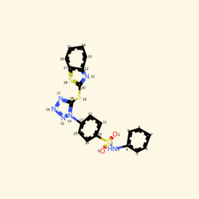 O=S(=O)(Nc1ccccc1)c1ccc(-n2nnnc2Sc2nc3ccccc3s2)cc1